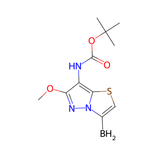 Bc1csc2c(NC(=O)OC(C)(C)C)c(OC)nn12